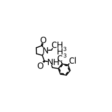 CCN1C(=O)CCC1C(=O)NCc1cccc(Cl)c1C